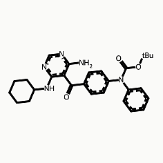 CC(C)(C)OC(=O)N(c1ccccc1)c1ccc(C(=O)c2c(N)ncnc2NC2CCCCC2)cc1